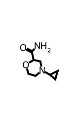 NC(=O)C1CN(C2CC2)CCO1